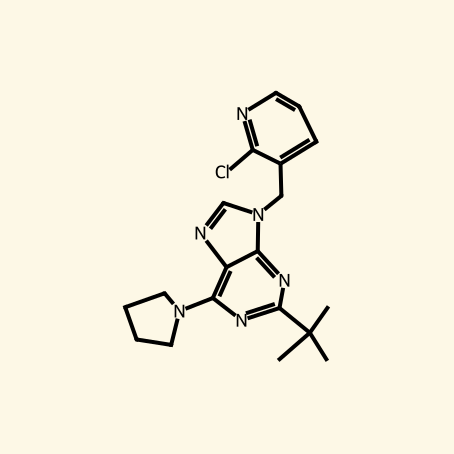 CC(C)(C)c1nc(N2CCCC2)c2ncn(Cc3cccnc3Cl)c2n1